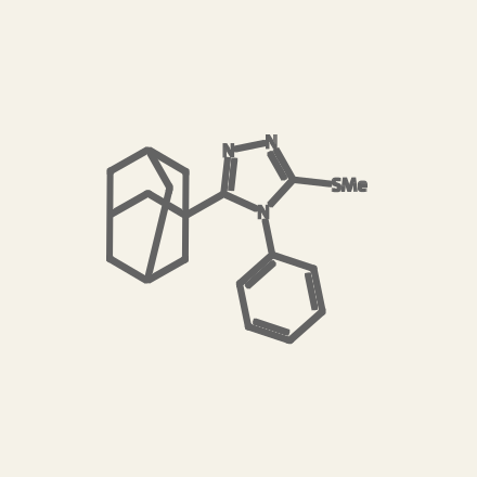 CSc1nnc(C23CC4CC(CC(C4)C2)C3)n1-c1ccccc1